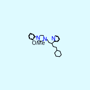 COc1ccccc1N1CCN(CCC(CCC2CCCCC2)c2ccccn2)CC1